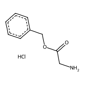 Cl.NCC(=O)OCc1ccccc1